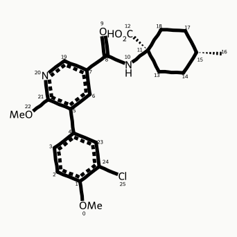 COc1ccc(-c2cc(C(=O)N[C@]3(C(=O)O)CC[C@@H](C)CC3)cnc2OC)cc1Cl